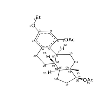 CCOc1cc2c(c(OC(C)=O)c1)[C@H]1CC[C@]3(C)[C@@H](OC(C)=O)CC[C@H]3[C@@H]1CC2